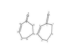 O=C1C=CCCCC1.O=C1C=CCCCC1